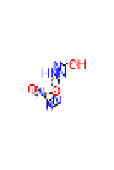 OCc1cnc(N[C@H]2CC[C@@H](Oc3cc(N4CCOCC4)cc4nccnc34)CC2)nc1